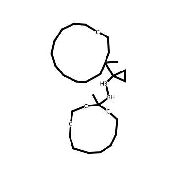 CC1(BBC2(C3(C)CCCCCCCCCCCCC3)CC2)CCCCCCCCCCC1